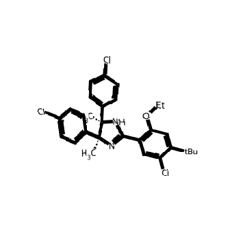 CCOc1cc(C(C)(C)C)c(Cl)cc1C1=N[C@@](C)(c2ccc(Cl)cc2)[C@@](C)(c2ccc(Cl)cc2)N1